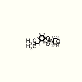 C[C](C)Cc1cccc(OC(=O)N2CCOCC2)c1